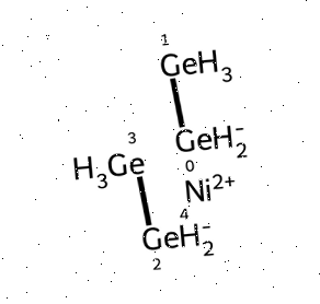 [GeH2-][GeH3].[GeH2-][GeH3].[Ni+2]